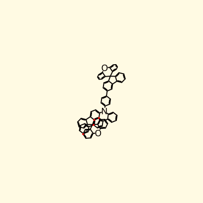 c1ccc(-c2ccc(-c3ccccc3N(c3ccc(-c4ccc5c(c4)-c4ccccc4C54c5ccccc5Oc5ccccc54)cc3)c3ccc4c(c3)C3(c5ccccc5Oc5ccccc53)c3ccccc3-4)cc2)cc1